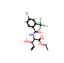 C=CC(O)C(NC(=O)c1ccc(F)cc1C(F)(F)F)C(=O)OCC